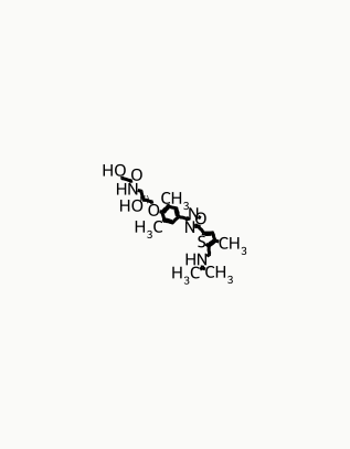 Cc1cc(-c2nc(-c3cc(C)c(OC[C@@H](O)CNC(=O)CO)c(C)c3)no2)sc1CNC(C)C